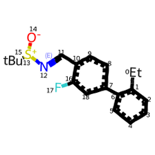 CCc1ccccc1-c1ccc(/C=N/[S+]([O-])C(C)(C)C)c(F)c1